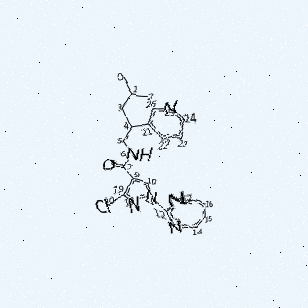 CC(C)CC(CNC(=O)c1cn(-c2ncccn2)nc1Cl)c1cccnc1